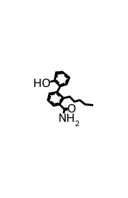 CCCCCc1c(C(N)=O)cccc1-c1ccccc1O